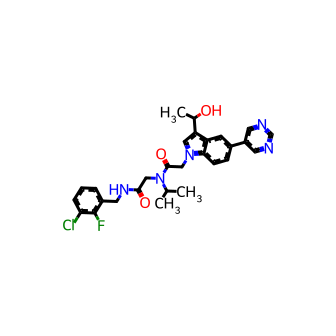 CC(O)c1cn(CC(=O)N(CC(=O)NCc2cccc(Cl)c2F)C(C)C)c2ccc(-c3cncnc3)cc12